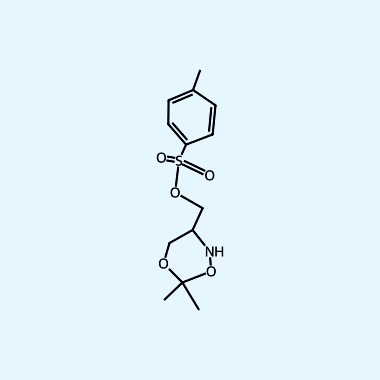 Cc1ccc(S(=O)(=O)OCC2COC(C)(C)ON2)cc1